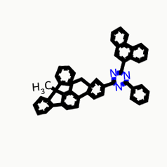 CC1(c2ccccc2)c2ccccc2-c2ccc3c(c21)CCc1cc(-c2nc(-c4ccccc4)nc(-c4cc5ccccc5c5ccccc45)n2)ccc1-3